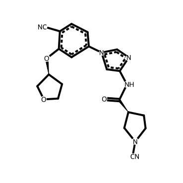 N#Cc1ccc(-n2cnc(NC(=O)[C@H]3CCN(C#N)C3)c2)cc1O[C@H]1CCOC1